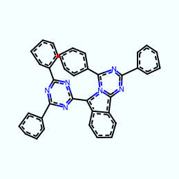 c1ccc(-c2nc(-c3ccccc3)nc(-c3c4ccccc4c4nc(-c5ccccc5)nc(-c5ccccc5)n34)n2)cc1